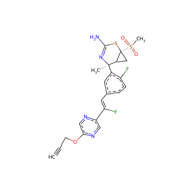 C#CCOc1cnc(/C(F)=C/c2ccc(F)c([C@@]3(C)N=C(N)S[C@@]4(S(C)(=O)=O)CC43)c2)cn1